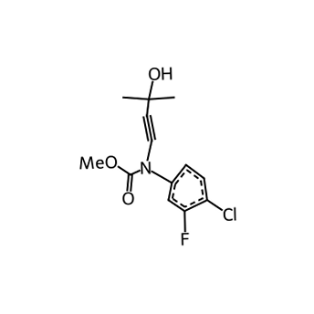 COC(=O)N(C#CC(C)(C)O)c1ccc(Cl)c(F)c1